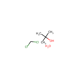 CC(C)(C)O.ClCCl.O